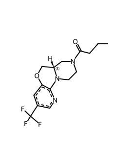 CCCC(=O)N1CCN2c3ncc(C(F)(F)F)cc3OC[C@@H]2C1